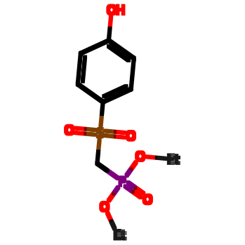 CCOP(=O)(CS(=O)(=O)c1ccc(O)cc1)OCC